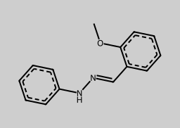 COc1ccccc1C=NNc1ccccc1